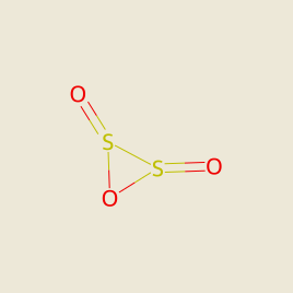 O=S1OS1=O